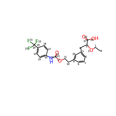 CCOC(Cc1cccc(CCOC(=O)Nc2ccc(C(F)(F)F)cc2)c1)C(=O)O